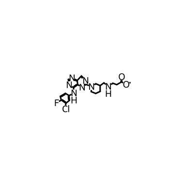 COC(=O)CCNCC1CCCN(c2ncc3ncnc(Nc4ccc(F)c(Cl)c4)c3n2)C1